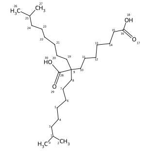 CC(C)CCCCCCC(CCCCCCC(=O)O)(CCCCCCC(C)C)C(=O)O